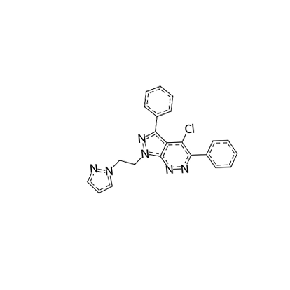 Clc1c(-c2ccccc2)nnc2c1c(-c1ccccc1)nn2CCn1cccn1